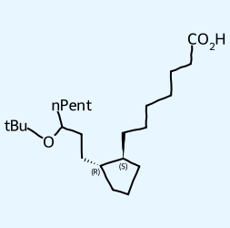 CCCCCC(CC[C@H]1CCC[C@@H]1CCCCCCC(=O)O)OC(C)(C)C